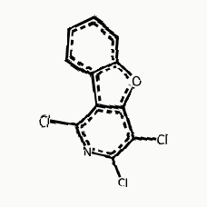 Clc1nc(Cl)c2c(oc3ccccc32)c1Cl